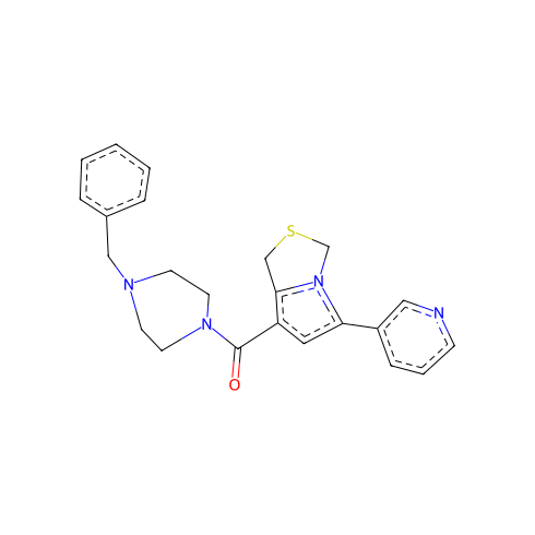 O=C(c1cc(-c2cccnc2)n2c1CSC2)N1CCN(Cc2ccccc2)CC1